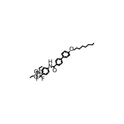 CCCCCCCCOc1ccc(-c2ccc(C(=O)Nc3ccc(C(F)(F)P(=O)(OCC)OCC)cc3)cc2)cc1